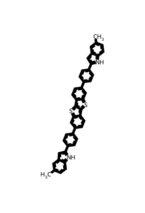 Cc1ccc2[nH]c(-c3ccc(-c4ccc5c(c4)sc4c6ccc(-c7ccc(-c8cc9cc(C)ccc9[nH]8)cc7)cc6sc54)cc3)cc2c1